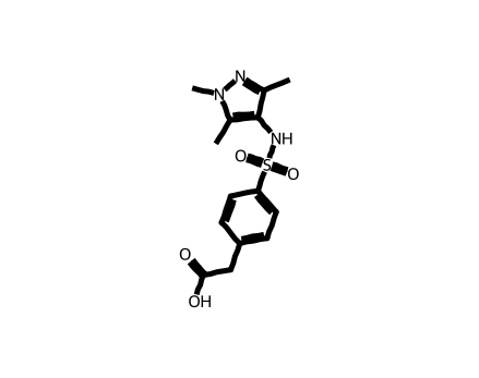 Cc1nn(C)c(C)c1NS(=O)(=O)c1ccc(CC(=O)O)cc1